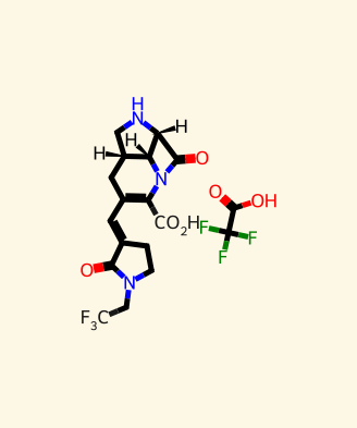 O=C(O)C(F)(F)F.O=C(O)C1=C(/C=C2\CCN(CC(F)(F)F)C2=O)C[C@@H]2CN[C@@H]3C(=O)N1[C@H]23